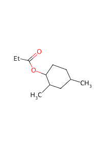 CCC(=O)OC1CCC(C)CC1C